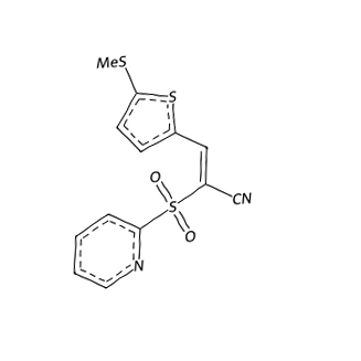 CSc1ccc(/C=C(/C#N)S(=O)(=O)c2ccccn2)s1